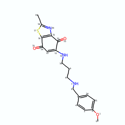 COc1ccc(CNCCCNC2=CC(=O)c3sc(C)nc3C2=O)cc1